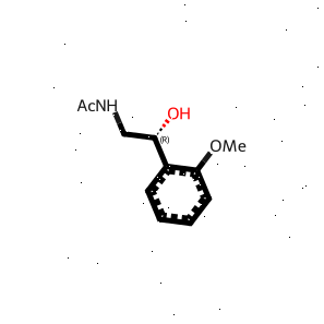 COc1ccccc1[C@@H](O)CNC(C)=O